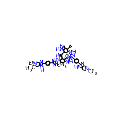 CCN1Cc2nc(-c3ccc(-c4nc(Nc5ccc6[nH]ncc6c5C5CC5c5cc(Nc6nc(-c7ccc(-c8nc9c([nH]8)CCN(CC(F)(F)F)C9)cc7)nn6C)c(C6CC6)c6cn[nH]c56)n(C)n4)cc3)[nH]c2CC1C